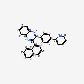 c1ccc(-c2ccc(-c3nc4ccccc4nc3-c3cccc4ccccc34)cc2)nc1